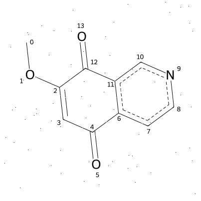 COC1=CC(=O)c2ccncc2C1=O